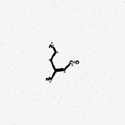 CCCC(=CC=O)CCC(C)=O